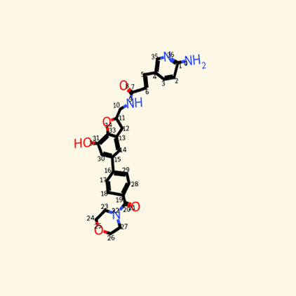 Nc1ccc(/C=C/C(=O)NCC2Cc3cc(-c4ccc(C(=O)N5CCOCC5)cc4)cc(O)c3O2)cn1